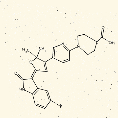 CC1(C)OC(=C2C(=O)Nc3ccc(F)cc32)C=C1c1ccc(N2CCC(C(=O)O)CC2)nc1